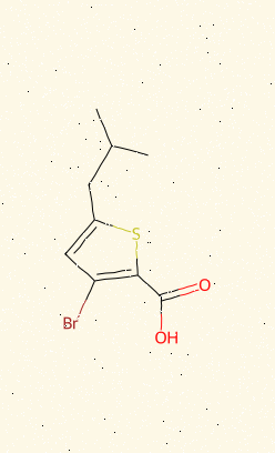 CC(C)Cc1cc(Br)c(C(=O)O)s1